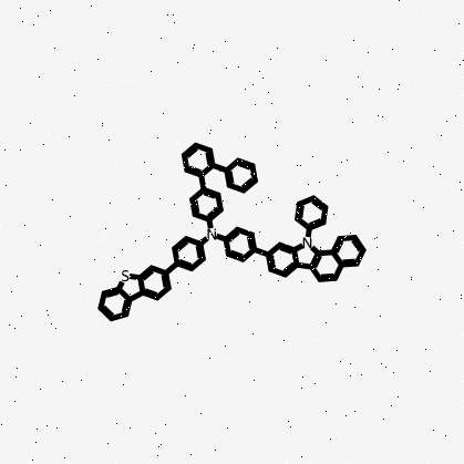 c1ccc(-c2ccccc2-c2ccc(N(c3ccc(-c4ccc5c(c4)sc4ccccc45)cc3)c3ccc(-c4ccc5c6ccc7ccccc7c6n(-c6ccccc6)c5c4)cc3)cc2)cc1